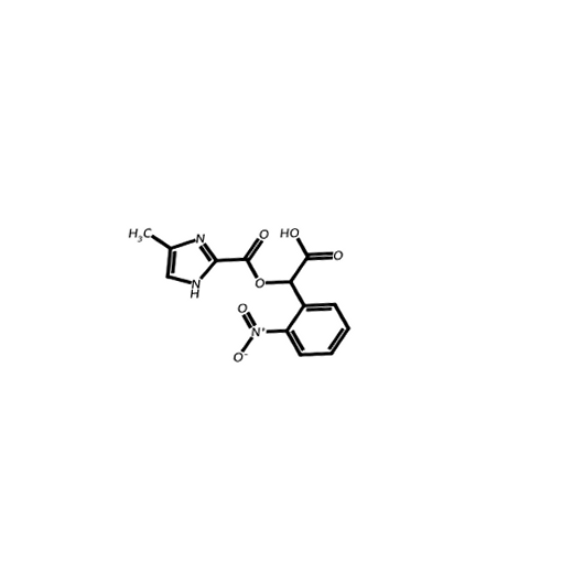 Cc1c[nH]c(C(=O)OC(C(=O)O)c2ccccc2[N+](=O)[O-])n1